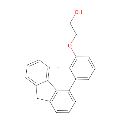 Cc1c(OCCO)cccc1-c1cccc2c1-c1ccccc1C2